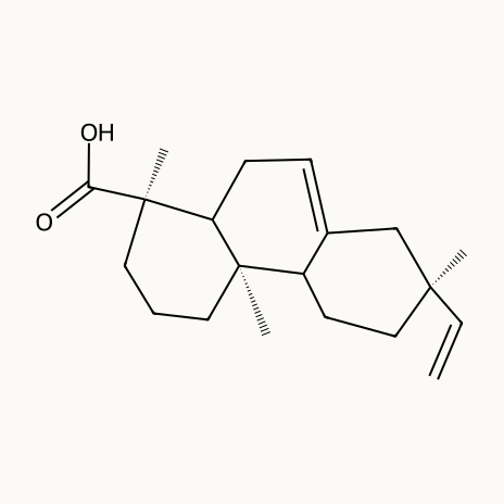 C=C[C@@]1(C)CCC2C(=CCC3[C@]2(C)CCC[C@@]3(C)C(=O)O)C1